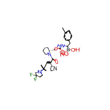 Cc1ccc(CC(NC(=O)OC[C@H]2CCCCN2C(=O)C(C#N)=CC(C)(C)N2CCC(F)(F)C2)B(O)O)cc1